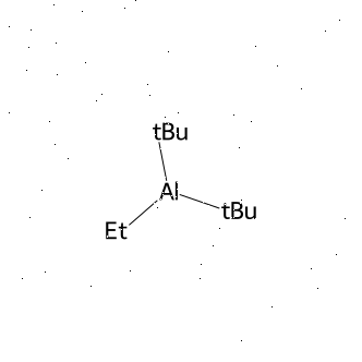 C[CH2][Al]([C](C)(C)C)[C](C)(C)C